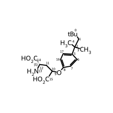 CC(C)(C)CC(C)(C)c1ccc(OC(C[C@H](N)C(=O)O)C(=O)O)cc1